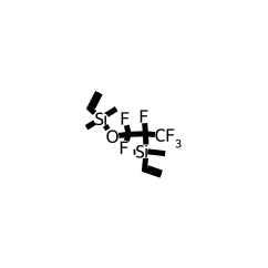 C=C[Si](C)(C)OC(F)(F)C(F)(C(F)(F)F)[Si](C)(C)C=C